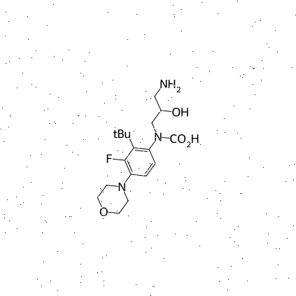 CC(C)(C)c1c(N(CC(O)CN)C(=O)O)ccc(N2CCOCC2)c1F